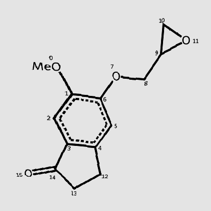 COc1cc2c(cc1OCC1CO1)CCC2=O